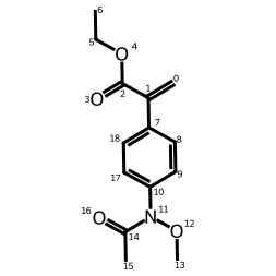 C=C(C(=O)OCC)c1ccc(N(OC)C(C)=O)cc1